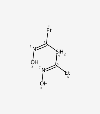 CCC(=NO)[SiH2]C(CC)=NO